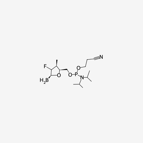 B[C@@H]1O[C@H](COP(OCCC#N)N(C(C)C)C(C)C)[C@H](C)C1F